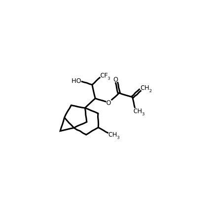 C=C(C)C(=O)OC(C(O)C(F)(F)F)C12CC(C)CC3(CC3C1)C2